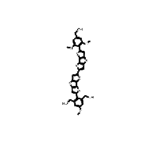 COc1cc(CO)c(-c2cc3sc4cc(-c5cc6sc7cc(-c8c(OC)cc(CO)cc8OC)sc7c6s5)sc4c3s2)c(CO)c1